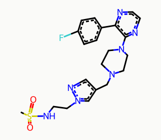 CS(=O)(=O)NCCn1cc(CN2CCN(c3nccnc3-c3ccc(F)cc3)CC2)cn1